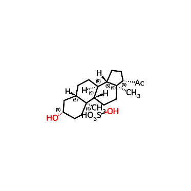 CC(=O)[C@H]1CC[C@H]2[C@@H]3CC[C@H]4C[C@@H](O)CC[C@]4(C)[C@H]3CC[C@]12C.O=S(=O)(O)O